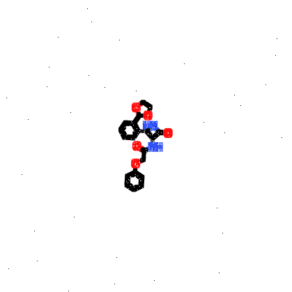 O=C(COc1ccccc1)N[C@H]1C(=O)N[C@H]1c1ccccc1C1OCCO1